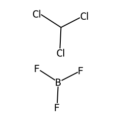 ClC(Cl)Cl.FB(F)F